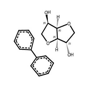 O[C@@H]1CO[C@H]2[C@@H]1OC[C@@H]2O.c1ccc(-c2ccccc2)cc1